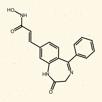 O=C(C=Cc1ccc2c(c1)NC(=O)CN=C2c1ccccc1)NO